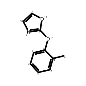 Cc1ccccc1Oc1ncco1